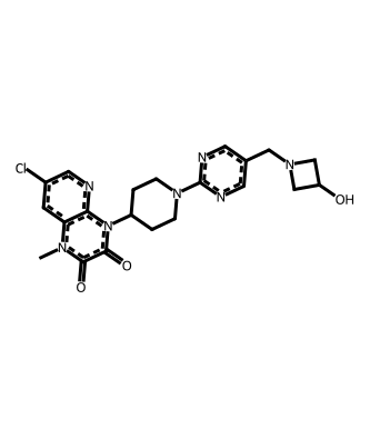 Cn1c(=O)c(=O)n(C2CCN(c3ncc(CN4CC(O)C4)cn3)CC2)c2ncc(Cl)cc21